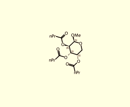 CCCC(=O)O[C@@H]1[C@@H](OC(=O)CCC)[C@@H](OC)OC[C@@H]1OC(=O)CCC